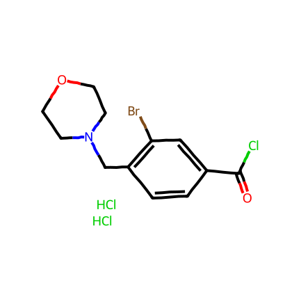 Cl.Cl.O=C(Cl)c1ccc(CN2CCOCC2)c(Br)c1